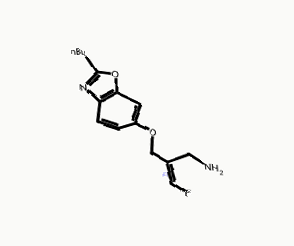 CCCCc1nc2ccc(OC/C(=C/F)CN)cc2o1